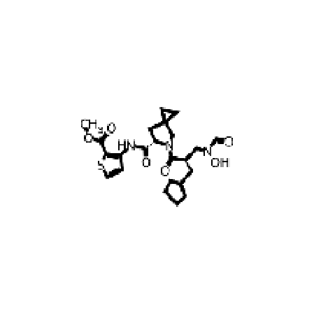 COC(=O)c1sccc1NC(=O)[C@@H]1CC2(CC2)CN1C(=O)[C@H](CC1CCCC1)CN(O)C=O